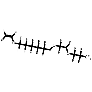 FC(F)=C(F)OC(F)(F)C(F)(F)C(F)(F)C(F)(F)C(F)(F)COC(F)(F)C(F)OC(F)(F)C(F)(F)C(F)(F)F